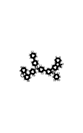 CC1(C)c2ccccc2-c2cc3c4cc(-c5ccc(N(c6ccc(-c7ccccc7)cc6)c6ccc(-c7cccc8oc9ccccc9c78)cc6)cc5)ccc4n(-c4ccccc4)c3cc21